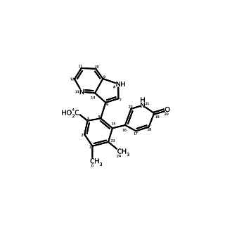 Cc1cc(C(=O)O)c(-c2c[nH]c3cccnc23)c(-c2ccc(=O)[nH]c2)c1C